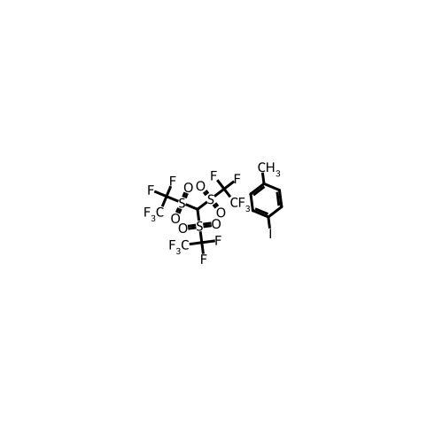 Cc1ccc(I)cc1.O=S(=O)(C(S(=O)(=O)C(F)(F)C(F)(F)F)S(=O)(=O)C(F)(F)C(F)(F)F)C(F)(F)C(F)(F)F